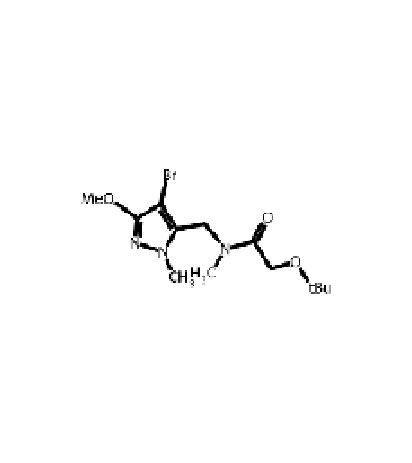 COc1nn(C)c(CN(C)C(=O)COC(C)(C)C)c1Br